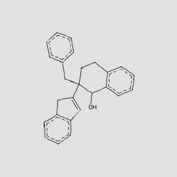 OC1c2ccccc2CCC1(Cc1ccccc1)C1=Cc2ccccc2C1